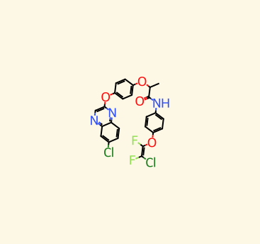 CC(Oc1ccc(Oc2cnc3cc(Cl)ccc3n2)cc1)C(=O)Nc1ccc(OC(F)=C(F)Cl)cc1